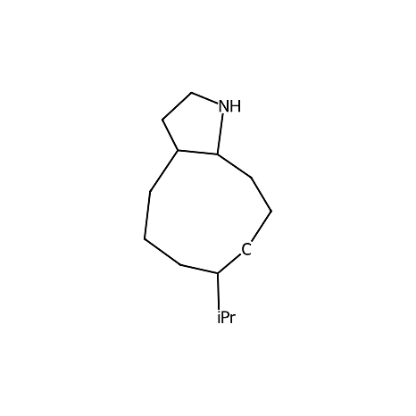 CC(C)C1CCCC2CCNC2CCC1